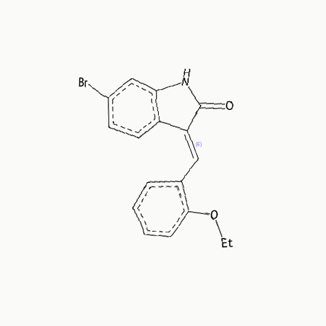 CCOc1ccccc1/C=C1/C(=O)Nc2cc(Br)ccc21